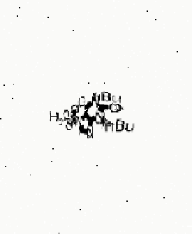 CCCCn1c(=O)c2c(ncn2S(C)(=O)=O)n(CCCC)c1=O